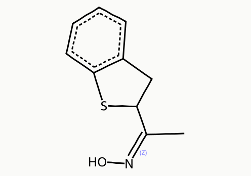 C/C(=N/O)C1Cc2ccccc2S1